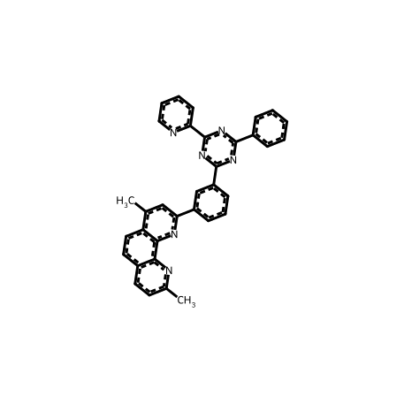 Cc1ccc2ccc3c(C)cc(-c4cccc(-c5nc(-c6ccccc6)nc(-c6ccccn6)n5)c4)nc3c2n1